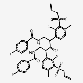 C=CCS(=O)(=O)c1c(C)ccc(C(CNC(=O)c2ccc(F)cc2)C(=O)C(CNC(=O)c2ccc(F)cc2)c2ccc(C)c(S(=O)(=O)CC=C)c2F)c1F